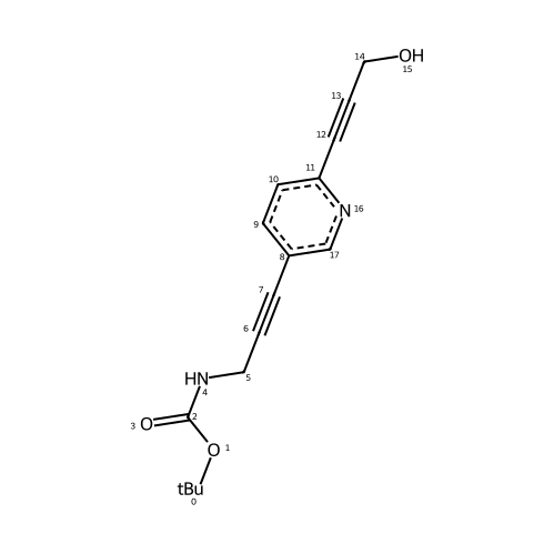 CC(C)(C)OC(=O)NCC#Cc1ccc(C#CCO)nc1